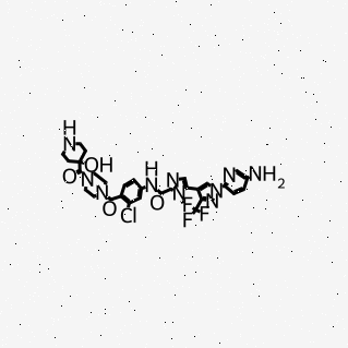 Cn1c(-c2cn(-c3ccc(N)cn3)nc2C(F)(F)F)cnc1C(=O)Nc1ccc(C(=O)N2CCN(C(=O)C3(O)CCNCC3)CC2)c(Cl)c1